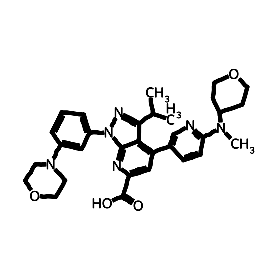 CC(C)c1nn(-c2cccc(N3CCOCC3)c2)c2nc(C(=O)O)cc(-c3ccc(N(C)C4CCOCC4)nc3)c12